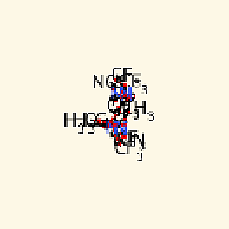 Cc1ccc(-c2ccc3c(c2)c2cc(-c4ccc(CCc5ccc6c(c5)c5ccccc5n6-c5ccc(-c6ccc(C(F)(F)F)cc6C(F)(F)F)c(-c6cc(C#N)ccc6-n6c7ccccc7c7cc(C)ccc76)c5)cc4)ccc2n3-c2ccc(-c3ccc(C(F)(F)F)cc3C(F)(F)F)c(-c3cc(C#N)ccc3-n3c4ccc(-c5ccc(C)cc5)cc4c4cc(-c5ccc(C)cc5)ccc43)c2)cc1